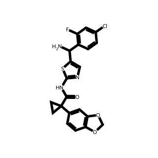 NC(c1cnc(NC(=O)C2(c3ccc4c(c3)OCO4)CC2)s1)c1ccc(Cl)cc1F